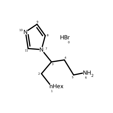 Br.CCCCCCCC(CCN)n1ccnc1